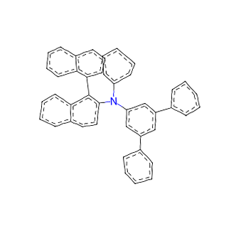 c1ccc(-c2cc(-c3ccccc3)cc(N(c3ccccc3)c3ccc4ccccc4c3-c3cccc4ccccc34)c2)cc1